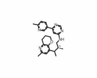 Cc1ccc(-c2cc(NC[C@@H](C)C(C)c3cc(C)nc4c3OCCC4)ncn2)cn1